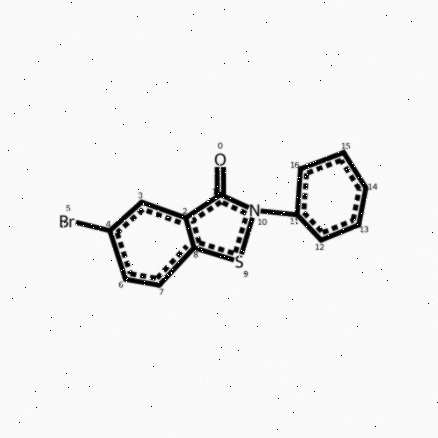 O=c1c2cc(Br)ccc2sn1-c1ccccc1